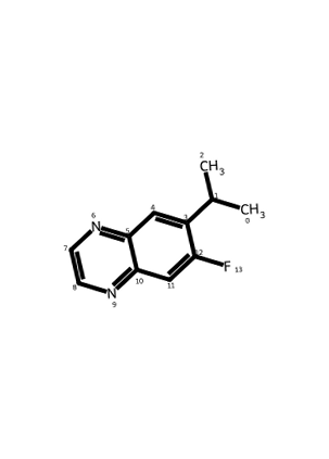 CC(C)c1cc2nccnc2cc1F